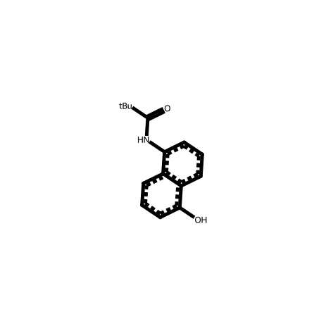 CC(C)(C)C(=O)Nc1cccc2c(O)cccc12